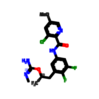 C/N=C(/N)O[C@@H](Cc1cc(NC(=O)c2ncc(OC)cc2Cl)cc(F)c1F)C(F)(F)F